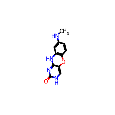 CNc1ccc2c(c1)Nc1nc(=O)[nH]cc1O2